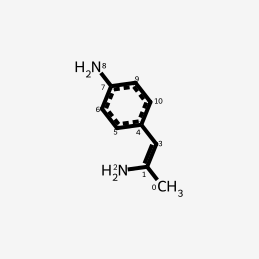 CC(N)=Cc1ccc(N)cc1